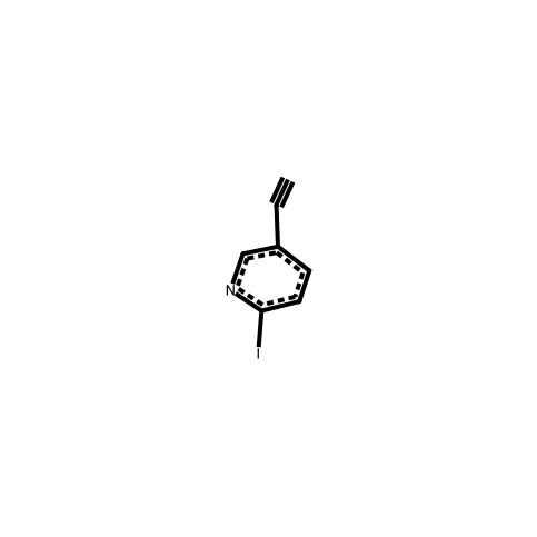 C#Cc1ccc(I)nc1